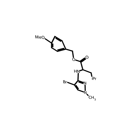 COc1ccc(COC(=O)C(CC(C)C)Nc2nn(C)cc2Br)cc1